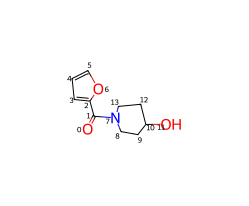 O=C(c1cc[c]o1)N1CCC(O)CC1